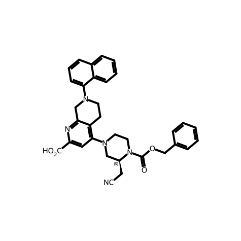 N#CC[C@H]1CN(c2cc(C(=O)O)nc3c2CCN(c2cccc4ccccc24)C3)CCN1C(=O)OCc1ccccc1